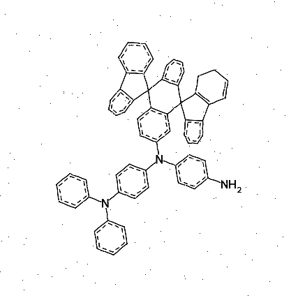 Nc1ccc(N(c2ccc(N(c3ccccc3)c3ccccc3)cc2)c2ccc3c(c2)C2(C4=C(C=CCC4)c4ccccc42)c2ccccc2C32c3ccccc3-c3ccccc32)cc1